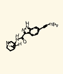 CCCC#Cc1ccc2c(C(=O)N[C@H]3CN4CCC3CC4)n[nH]c2c1